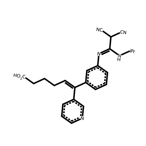 CC(C)NC(=Nc1cccc(C(=CCCCC(=O)O)c2cccnc2)c1)C(C#N)C#N